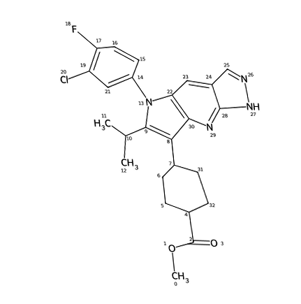 COC(=O)C1CCC(c2c(C(C)C)n(-c3ccc(F)c(Cl)c3)c3cc4cn[nH]c4nc23)CC1